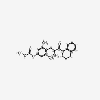 COC(=O)Oc1cc(C)c(CC(N)C(=O)N2CCCc3ccccc32)c(C)c1